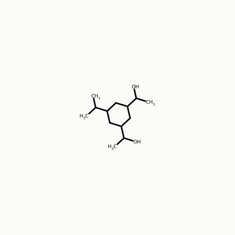 CC(C)C1CC(C(C)O)CC(C(C)O)C1